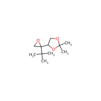 CC1(C)OCC(C2(C(C)(C)C)CO2)O1